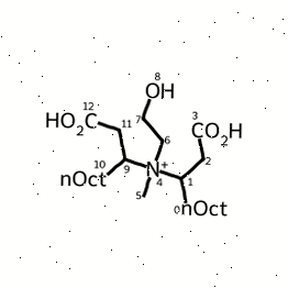 CCCCCCCCC(CC(=O)O)[N+](C)(CCO)C(CCCCCCCC)CC(=O)O